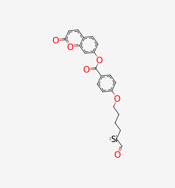 O=C[Si]CCCCOc1ccc(C(=O)Oc2ccc3ccc(=O)oc3c2)cc1